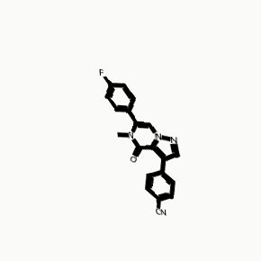 Cn1c(-c2ccc(F)cc2)cn2ncc(-c3ccc(C#N)cc3)c2c1=O